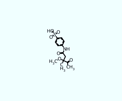 COC(C)(CC(=O)Nc1ccc(S(=O)(=O)O)cc1)C(C)=O